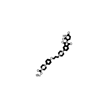 CC(C)(C)OC(=O)N1CCN(c2ccc(OCCCN3CCN(c4ccc5c(c4)C(=O)N(C4CCC(=O)NC4=O)C5=O)CC3)cc2)CC1